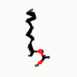 CCCCC=CC=C(C)OC(C)=O